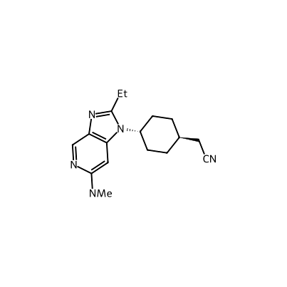 CCc1nc2cnc(NC)cc2n1[C@H]1CC[C@H](CC#N)CC1